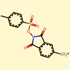 Cc1ccc(S(=O)(=O)ON2C(=O)c3ccc(C(=O)O)cc3C2=O)cc1